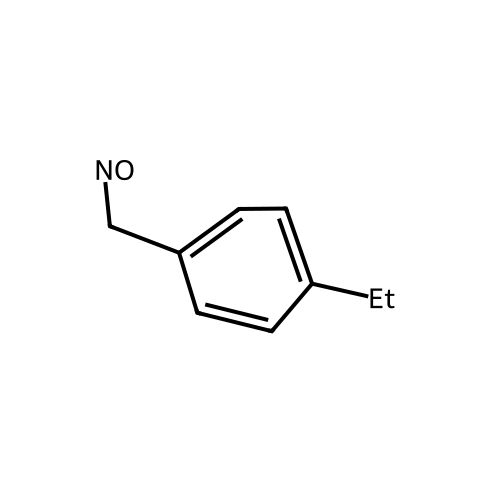 CCc1ccc(CN=O)cc1